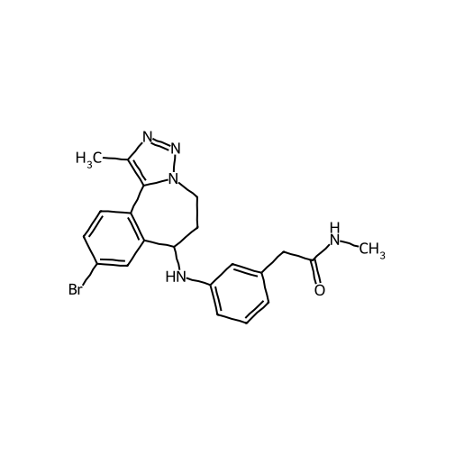 CNC(=O)Cc1cccc(NC2CCn3nnc(C)c3-c3ccc(Br)cc32)c1